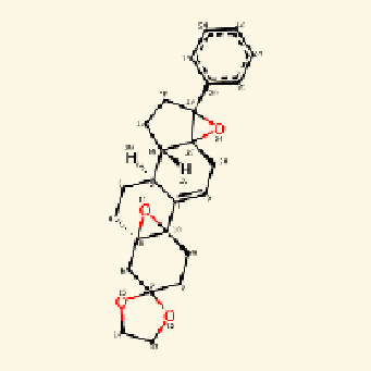 C1=C2[C@@H](CC[C@@]34CC5(CC[C@@]23O4)OCCO5)[C@@H]2CC[C@]3(c4ccccc4)O[C@]23C1